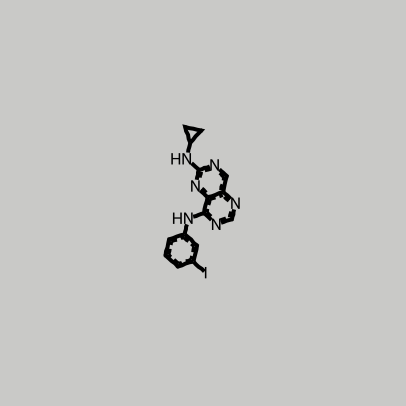 Ic1cccc(Nc2ncnc3cnc(NC4CC4)nc23)c1